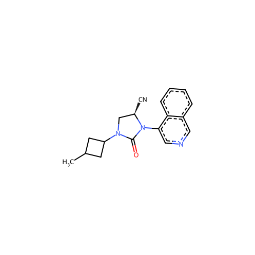 CC1CC(N2C[C@@H](C#N)N(c3cncc4ccccc34)C2=O)C1